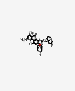 Nc1cc(Cl)c(C(F)(F)F)c(-c2c(Cl)cc3c(N4C5CNCC4COC5)nc(OC[C@@]45CCCN4C[C@H](F)C5)nc3c2F)n1